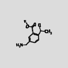 CC(Cl)c1ccc(CN)cc1C(=O)OF